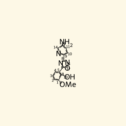 COc1cccc(-c2nc(-c3ccc(N)cn3)no2)c1O